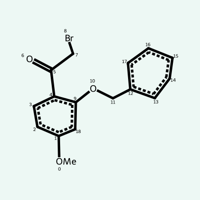 COc1ccc(C(=O)CBr)c(OCc2ccccc2)c1